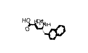 CN[C@@H](C=C(C)C(=O)O)Cc1ccc2ccccc2c1